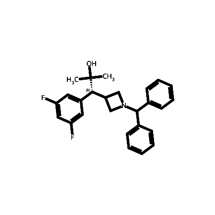 CC(C)(O)[C@@H](c1cc(F)cc(F)c1)C1CN(C(c2ccccc2)c2ccccc2)C1